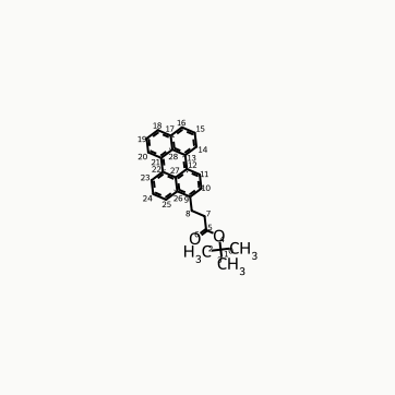 CC(C)(C)OC(=O)CCc1ccc2c3cccc4cccc(c5cccc1c52)c43